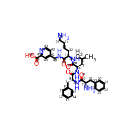 CC(C)C[C@@H](NC(=O)[C@@H](Cc1ccccc1)NC(=O)[C@H](N)Cc1ccccc1)C(=O)N[C@H](CCCCN)C(=O)NCc1ccnc(C(=O)O)c1